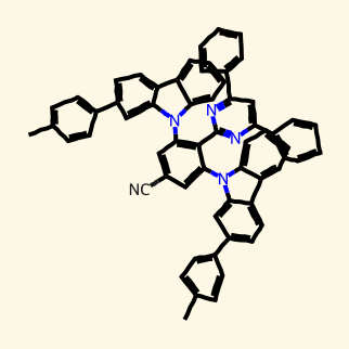 Cc1ccc(-c2ccc3c4ccccc4n(-c4cc(C#N)cc(-n5c6ccccc6c6ccc(-c7ccc(C)cc7)cc65)c4-c4nc(-c5ccccc5)cc(-c5ccccc5)n4)c3c2)cc1